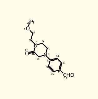 CC(C)OCCN1CCN(c2ccc(C=O)cc2)CC1=O